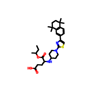 CCC(C)OC(=O)C(CCC(=O)O)NC1CCN(c2nc(-c3ccc4c(c3)C(C)(C)CCC4(C)C)cs2)CC1